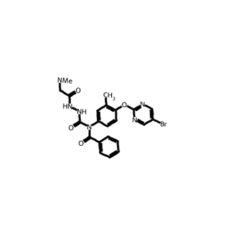 CNCC(=O)NNC(=O)N(C(=O)c1ccccc1)c1ccc(Oc2ncc(Br)cn2)c(C)c1